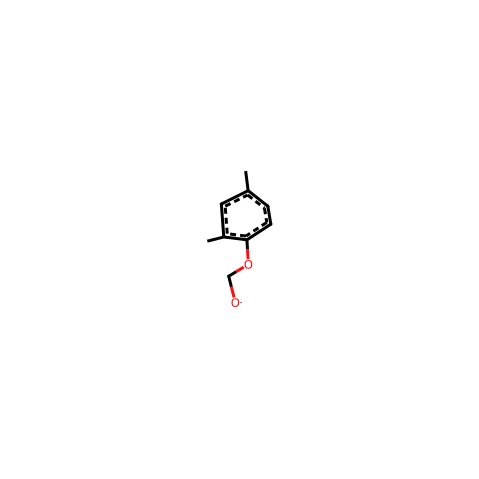 Cc1ccc(OC[O])c(C)c1